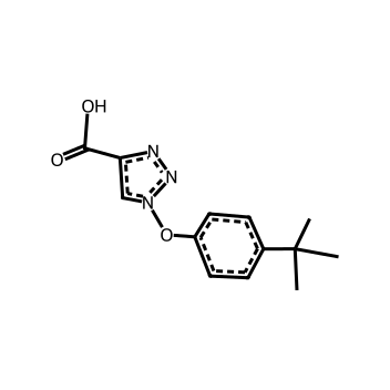 CC(C)(C)c1ccc(On2cc(C(=O)O)nn2)cc1